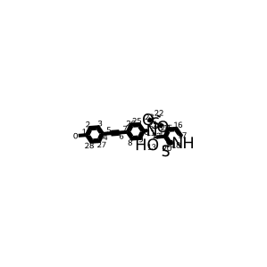 Cc1ccc(C#Cc2ccc(N(C(O)c3ccc[nH]c3=S)S(C)(=O)=O)cc2)cc1